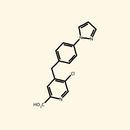 O=C(O)c1cc(Cc2ccc(-n3cccn3)cc2)c(Cl)cn1